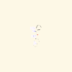 O=C(N[C@H]1CCC2CCCN2C1)c1n[nH]c2ccccc12